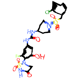 O=C1CN(c2c(O)cc(NC(=O)NC3CCN(S(=O)(=O)Cc4ccccc4Cl)CC3)cc2F)S(=O)(=O)N1